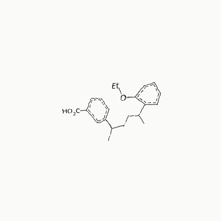 CCOc1ccccc1C(C)CCC(C)c1cccc(C(=O)O)c1